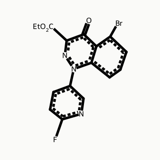 CCOC(=O)c1nn(-c2ccc(F)nc2)c2cccc(Br)c2c1=O